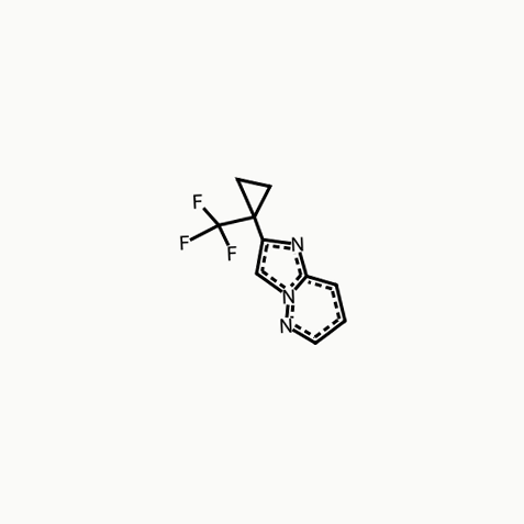 FC(F)(F)C1(c2cn3ncccc3n2)CC1